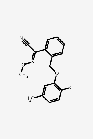 CON=C(C#N)c1ccccc1COc1cc(C)ccc1Cl